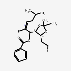 CC(C)C/C=C(/F)C(OC(=O)c1ccccc1)[C@H]1OC(C)(C)O[C@H]1CCI